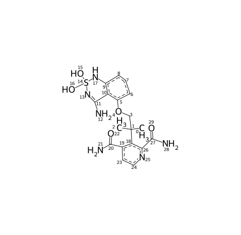 CC(C)(COc1cccc2c1C(N)=NS(O)(O)N2)c1c(C(N)=O)ccnc1C(N)=O